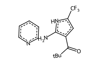 CC(C)(C)C(=O)c1cc(C(F)(F)F)[nH]c1N.c1ccncc1